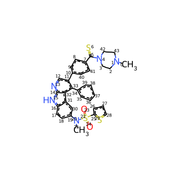 CN1CCN(C(=S)c2ccc(-c3cnc4[nH]c5ccc(N(C)S(=O)(=O)c6cccs6)cc5c4c3-c3ccccc3)cc2)CC1